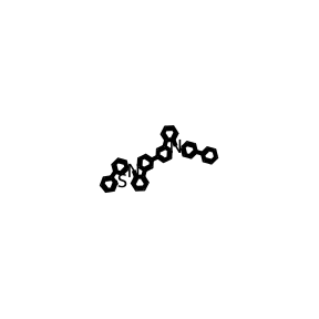 C1=CC(c2ccc(-n3c4ccccc4c4cc(-c5ccc6c(c5)c5ccccc5n6-c5cccc6c5sc5ccccc56)ccc43)cc2)=CCC1